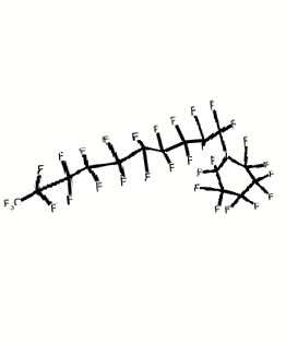 FC(F)(F)C(F)(F)C(F)(F)C(F)(F)C(F)(F)C(F)(F)C(F)(F)C(F)(F)C(F)(F)C(F)(F)I1C(F)(F)C(F)(F)C(F)(F)C(F)(F)C1(F)F